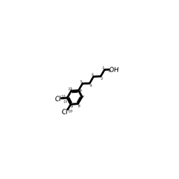 OCCCCCc1ccc(Cl)c(Cl)c1